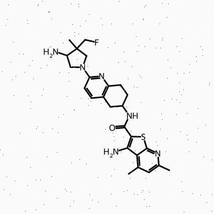 Cc1cc(C)c2c(N)c(C(=O)NC3CCc4nc(N5CC(N)C(C)(CF)C5)ccc4C3)sc2n1